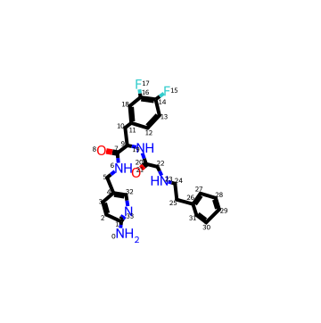 Nc1ccc(CNC(=O)C(Cc2ccc(F)c(F)c2)NC(=O)CNCCc2ccccc2)cn1